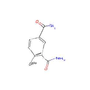 COc1ccc(C(N)=O)cc1C(N)=O